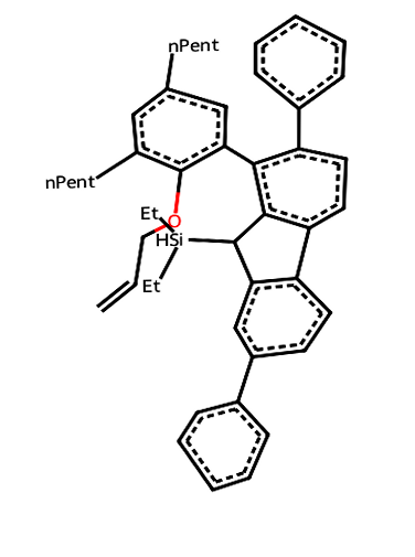 C=CCOc1c(CCCCC)cc(CCCCC)cc1-c1c(-c2ccccc2)ccc2c1C([SiH](CC)CC)c1cc(-c3ccccc3)ccc1-2